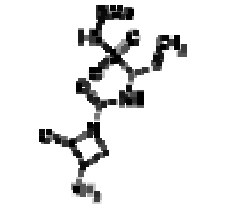 C=CC(NC(=O)N1CC(N)C1=O)S(=O)(=O)NNC